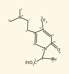 CCOC(=O)C(C(C)CC)n1cc(CCN(C)C)c(C(F)(F)F)cc1=O